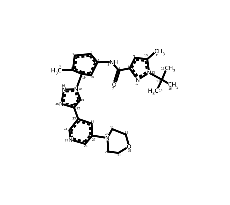 Cc1ccc(NC(=O)c2cc(C)n(C(C)(C)C)n2)cc1-n1cc(-c2cncc(N3CCOCC3)c2)nn1